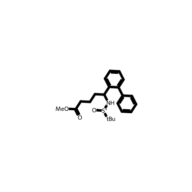 COC(=O)CCCC(N[S+]([O-])C(C)(C)C)c1ccccc1-c1ccccc1